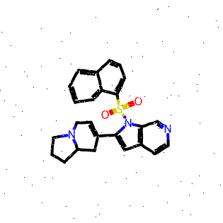 O=S(=O)(c1cccc2ccccc12)n1c(C2=CCN3CCCC3C2)cc2ccncc21